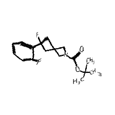 CC(C)(C)OC(=O)N1CC2(C1)CC(F)(c1ccccc1F)C2